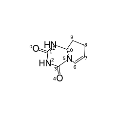 O=C1NC(=O)N2C=CCCC2N1